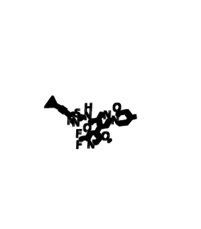 COc1cnc(C(F)F)cc1-c1cc(-n2ccc(C)cc2=O)ncc1C(=O)Nc1nnc(C#CC2CC2)s1